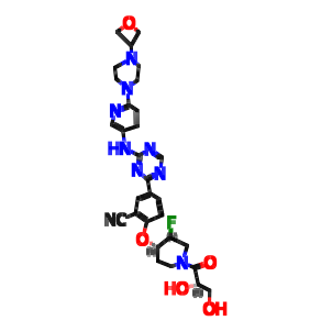 N#Cc1cc(-c2ncnc(Nc3ccc(N4CCN(C5COC5)CC4)nc3)n2)ccc1O[C@H]1CCN(C(=O)[C@@H](O)CO)C[C@@H]1F